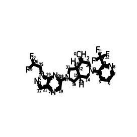 C=C1CN(c2cccnc2C(F)(F)F)C[C@@H]2CN(c3cnc4cnn(CC(F)F)c4n3)C[C@H]12